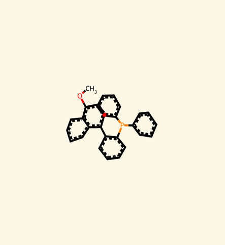 COc1ccc(-c2ccccc2P(c2ccccc2)c2ccccc2)c2ccccc12